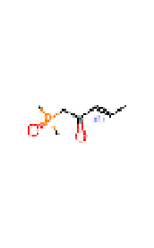 C/C=C/C(=O)CP(C)(C)=O